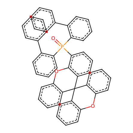 O=P(c1ccccc1-c1ccccc1)(c1ccccc1-c1ccccc1)c1cccc2c1Oc1ccccc1C21c2ccccc2Oc2ccccc21